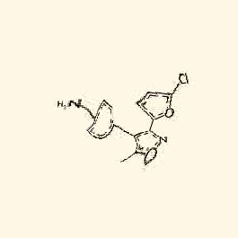 Cc1onc(-c2ccc(Cl)o2)c1-c1ccc(N)cc1